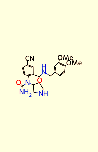 COc1ccc(CNC(=O)c2cc(C#N)ccc2N(C(N)=O)C2CCNC2)cc1OC